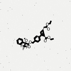 CCOC(=O)C[C@H]1C2C3(c4ccc(COC(=O)[C@](OC)(c5ccccc5)C(F)(F)F)cc4)[C@H](C(=O)OCC)[C@]213